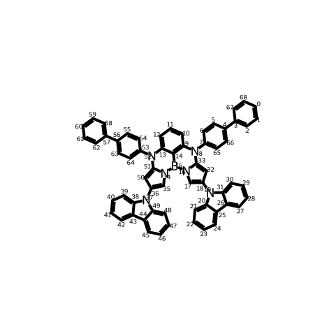 c1ccc(-c2ccc(N3c4cccc5c4B(n4cc(-n6c7ccccc7c7ccccc76)cc43)n3cc(-n4c6ccccc6c6ccccc64)cc3N5c3ccc(-c4ccccc4)cc3)cc2)cc1